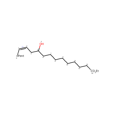 CCCCC/C=C\CC(O)CCCCCCCCC(=O)OCC